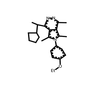 CCOc1ccc(-n2c(C)c3c(C)nnc(C(C)C4CCCC4)c3c2C)cc1